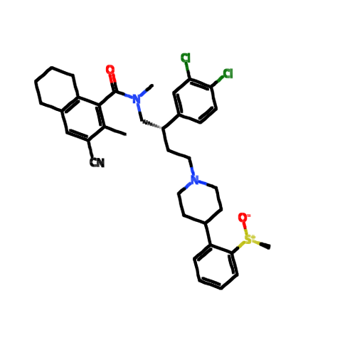 Cc1c(C#N)cc2c(c1C(=O)N(C)C[C@@H](CCN1CCC(c3ccccc3[S@+](C)[O-])CC1)c1ccc(Cl)c(Cl)c1)CCCC2